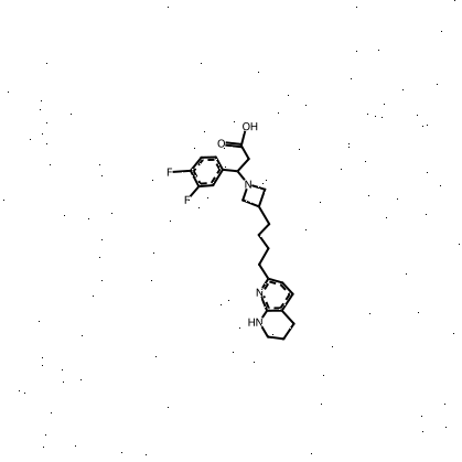 O=C(O)CC(c1ccc(F)c(F)c1)N1CC(CCCCc2ccc3c(n2)NCCC3)C1